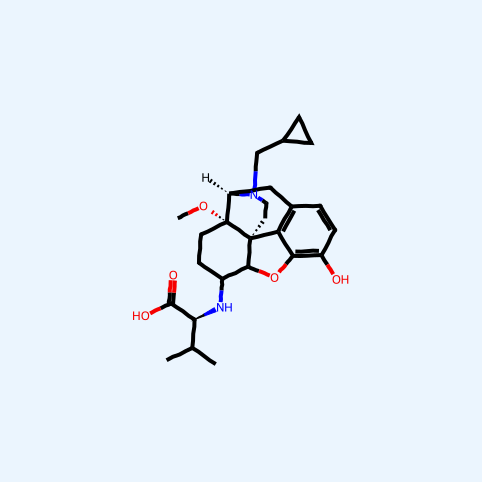 CO[C@@]12CCC(N[C@H](C(=O)O)C(C)C)C3Oc4c(O)ccc5c4[C@@]31CCN(CC1CC1)[C@@H]2C5